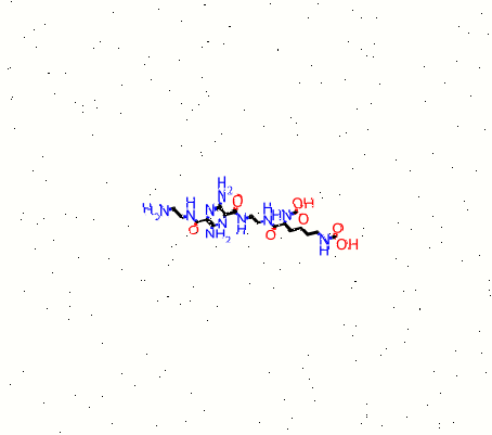 NCCNC(=O)c1nc(N)c(C(=O)NCCNC(=O)C(CCCCNC(=O)O)NC(=O)O)nc1N